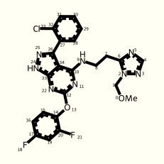 COCn1ncnc1CCNc1nc(Oc2ccc(F)cc2F)nc2[nH]nc(-c3ccccc3Cl)c12